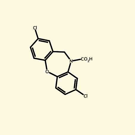 O=C(O)N1Cc2cc(Cl)ccc2Oc2ccc(Cl)cc21